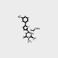 COCC[C@@]1(c2ccc(-c3cccc(C#N)c3)s2)CC(=O)N(C)C(=N)N1